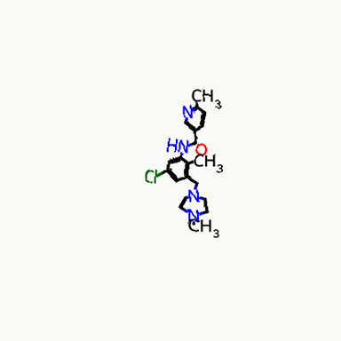 Cc1ccc(C(=O)Nc2cc(Cl)cc(CN3CCN(C)CC3)c2C)cn1